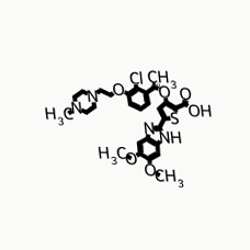 COc1cc2nc(-c3cc(O[C@H](C)c4cccc(OCCN5CCN(C)CC5)c4Cl)c(C(=O)O)s3)[nH]c2cc1OC